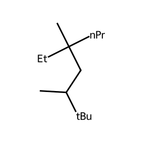 CCCC(C)(CC)CC(C)C(C)(C)C